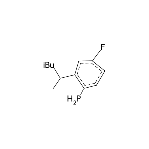 CCC(C)C(C)c1cc(F)ccc1P